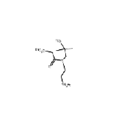 CCOC(=O)CCN(CC(C)(C)O)C(=O)CC(=O)OCC